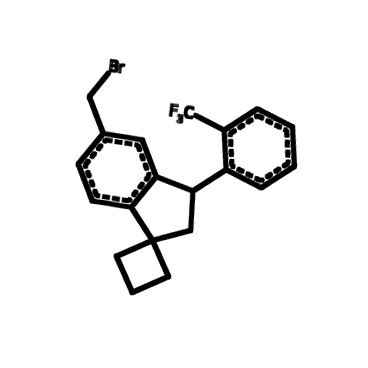 FC(F)(F)c1ccccc1C1CC2(CCC2)c2ccc(CBr)cc21